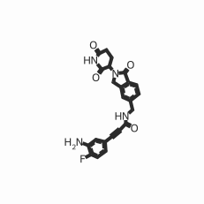 Nc1cc(C#CC(=O)NCc2ccc3c(c2)CN(C2CCC(=O)NC2=O)C3=O)ccc1F